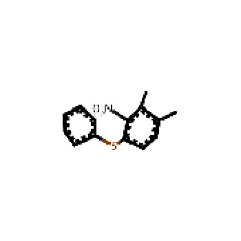 Cc1ccc(Sc2ccccc2)c([N+](=O)[O-])c1C